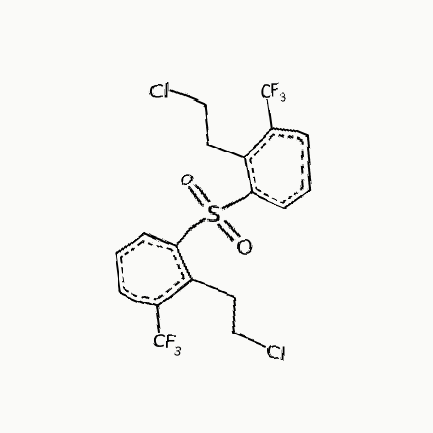 O=S(=O)(c1cccc(C(F)(F)F)c1CCCl)c1cccc(C(F)(F)F)c1CCCl